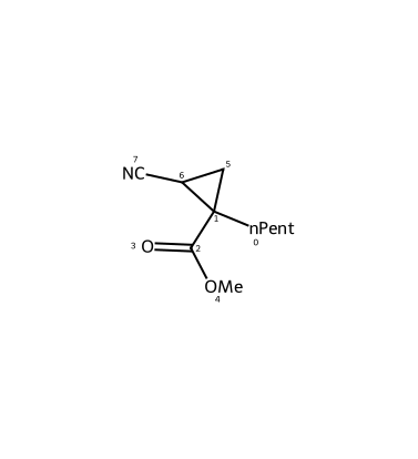 CCCCCC1(C(=O)OC)CC1C#N